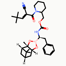 CC(C)(C)C=C(C#N)C(=O)N1CCCCC1COC(=O)N[C@@H](Cc1ccccc1)B1O[C@@H]2C[C@@H]3C[C@@H](C3(C)C)[C@]2(C)O1